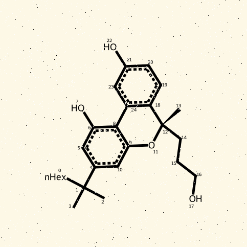 CCCCCCC(C)(C)c1cc(O)c2c(c1)O[C@@](C)(CCCO)c1ccc(O)cc1-2